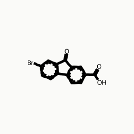 O=C(O)c1ccc2c(c1)C(=O)c1cc(Br)ccc1-2